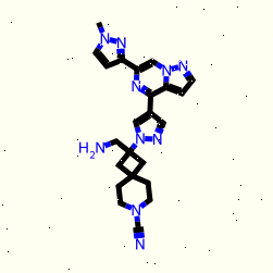 Cn1ccc(-c2cn3nccc3c(-c3cnn(C4(CN)CC5(CCN(C#N)CC5)C4)c3)n2)n1